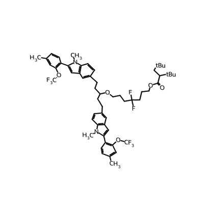 Cc1ccc(-c2cc3cc(CCC(CCc4ccc5c(c4)cc(-c4ccc(C)cc4OC(F)(F)F)n5C)OCCCC(F)(F)CCCOC(=O)C(CC(C)(C)C)C(C)(C)C)ccc3n2C)c(OC(F)(F)F)c1